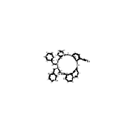 N#Cc1ccc2cc1Oc1ccc3cccc(c3c1)NC(=O)[C@@H](Cc1ccccc1)N(Cc1ccccc1)Cc1cncn1C2